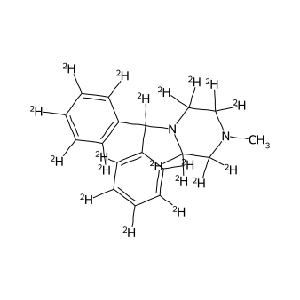 [2H]c1c([2H])c([2H])c(C([2H])(c2c([2H])c([2H])c([2H])c([2H])c2[2H])N2C([2H])([2H])C([2H])([2H])N(C)C([2H])([2H])C2([2H])[2H])c([2H])c1[2H]